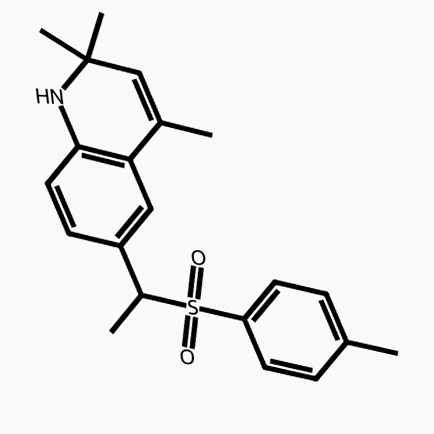 CC1=CC(C)(C)Nc2ccc(C(C)S(=O)(=O)c3ccc(C)cc3)cc21